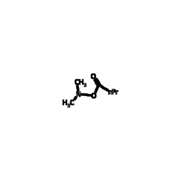 CCCC(=O)ON(C)C